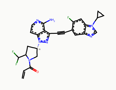 C=CC(=O)N1C[C@@H](n2nc(C#Cc3cc4ncn(C5CC5)c4cc3F)c3c(N)nccc32)CC1C(F)F